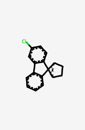 Clc1ccc2c(c1)-c1ccccc1C21C2CCC1CC2